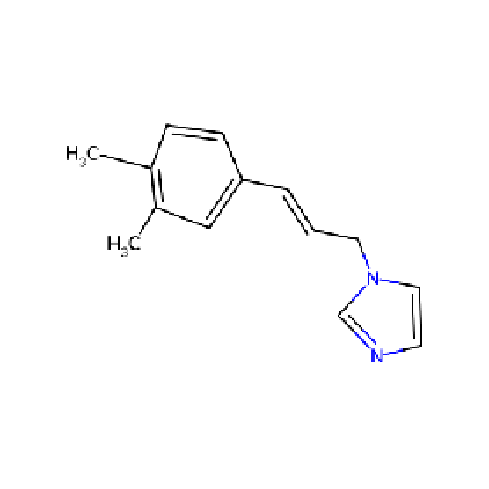 Cc1ccc(/C=C/Cn2ccnc2)cc1C